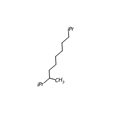 [CH2]C(C)C(C)CCCCCCC(C)C